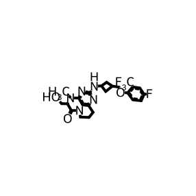 CN1c2nc(NC3CC(COc4ccc(F)cc4C(F)(F)F)C3)nc3c2N(CCC3)C(=O)C1CO